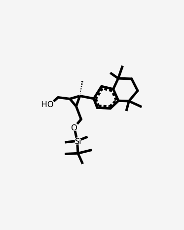 CC1(C)CCC(C)(C)c2cc([C@]3(C)C(CO)C3CO[Si](C)(C)C(C)(C)C)ccc21